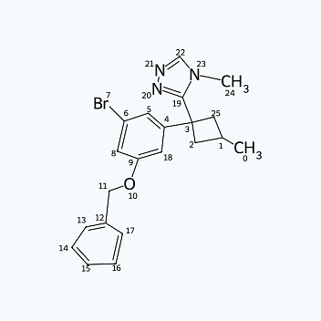 CC1CC(c2cc(Br)cc(OCc3ccccc3)c2)(c2nncn2C)C1